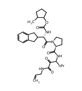 C=CCNC(=O)C(=O)C(CCC)NC(=O)[C@@H]1CCCN1C(=O)[C@@H](NC(=O)OC1CCCC1C)C1Cc2ccccc2C1